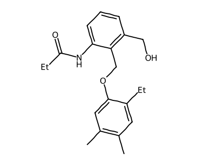 CCC(=O)Nc1cccc(CO)c1COc1cc(C)c(C)cc1CC